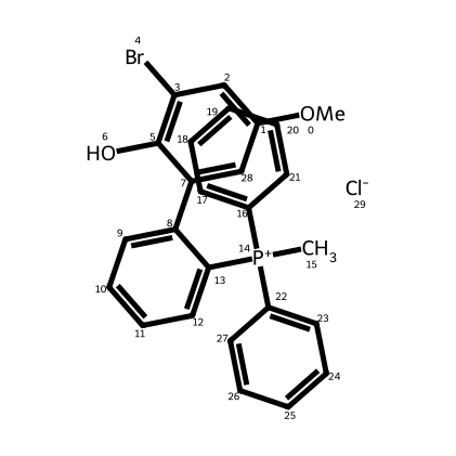 COc1cc(Br)c(O)c(-c2ccccc2[P+](C)(c2ccccc2)c2ccccc2)c1.[Cl-]